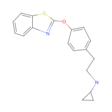 c1ccc2sc(Oc3ccc(CC[N]C4CC4)cc3)nc2c1